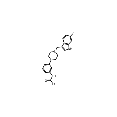 CCC(=O)Nc1cccc(C2CCN(Cc3c[nH]c4cc(F)ccc34)CC2)c1